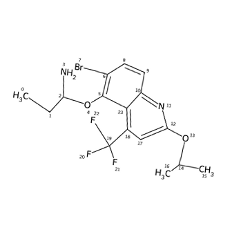 CCC(N)Oc1c(Br)ccc2nc(OC(C)C)cc(C(F)(F)F)c12